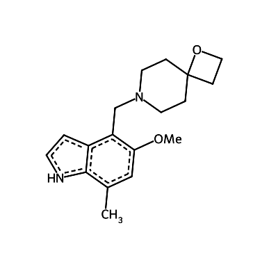 COc1cc(C)c2[nH]ccc2c1CN1CCC2(CCO2)CC1